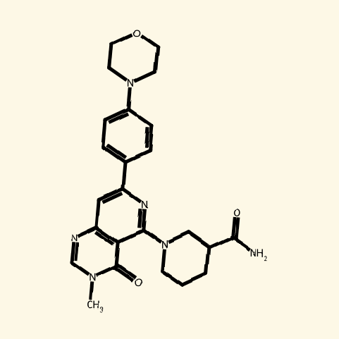 Cn1cnc2cc(-c3ccc(N4CCOCC4)cc3)nc(N3CCCC(C(N)=O)C3)c2c1=O